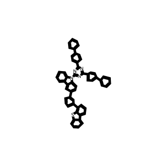 c1ccc(-c2ccc(-c3nc(-c4ccc(-c5ccccc5)cc4)nc(-n4c5ccccc5c5cc(-c6cccc(-c7cccc8c7sc7ccccc78)c6)ccc54)n3)cc2)cc1